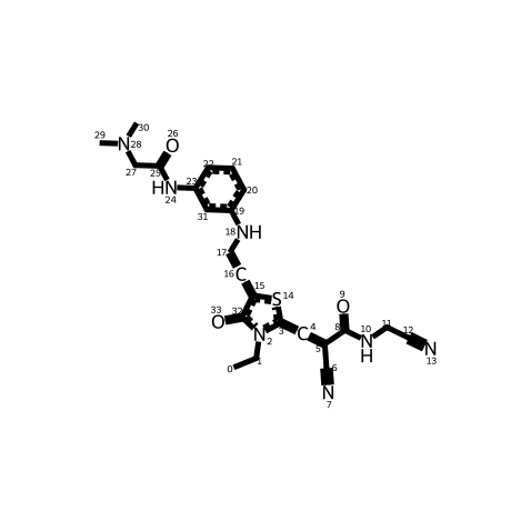 CCn1c(=C=C(C#N)C(=O)NCC#N)sc(=C=CNc2cccc(NC(=O)CN(C)C)c2)c1=O